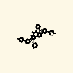 Cc1ccc(-c2ccc3c(c2)c2cc4c(cc2n3-c2ccccc2)-c2ccc3c5cc(-c6ccc(C)cc6)ccc5n(-c5ccccc5)c3c2C(C)C4C)cc1